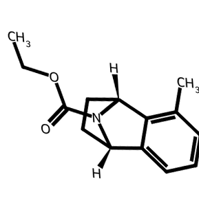 CCOC(=O)N1[C@@H]2CC[C@H]1c1cccc(C)c12